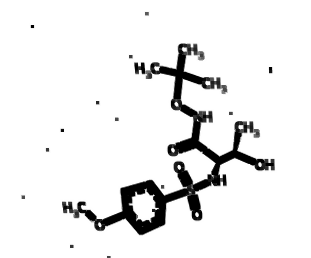 COc1ccc(S(=O)(=O)N[C@@H](C(=O)NOC(C)(C)C)[C@@H](C)O)cc1